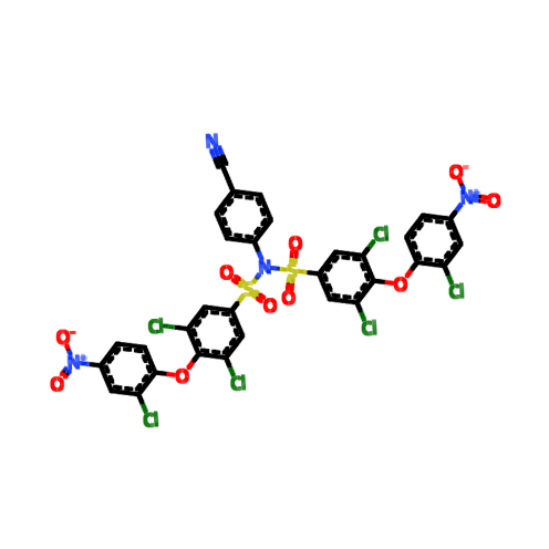 N#Cc1ccc(N(S(=O)(=O)c2cc(Cl)c(Oc3ccc([N+](=O)[O-])cc3Cl)c(Cl)c2)S(=O)(=O)c2cc(Cl)c(Oc3ccc([N+](=O)[O-])cc3Cl)c(Cl)c2)cc1